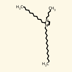 CCCCCCCCCCCCCCCN1C=CN(CCCCC)C1CCCCCCCCCCC